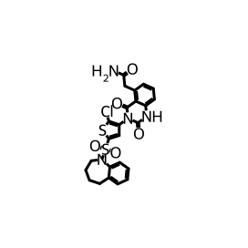 NC(=O)Cc1cccc2[nH]c(=O)n(-c3cc(S(=O)(=O)N4CCCCc5ccccc54)sc3Cl)c(=O)c12